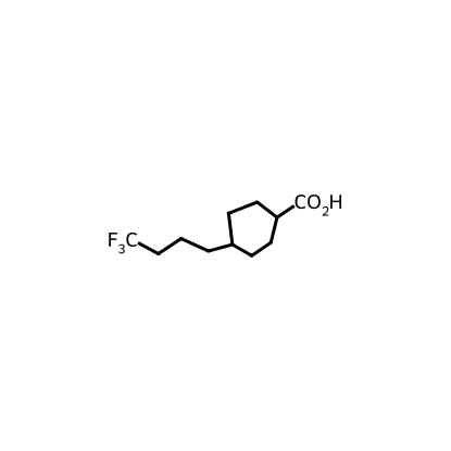 O=C(O)C1CCC(CCCC(F)(F)F)CC1